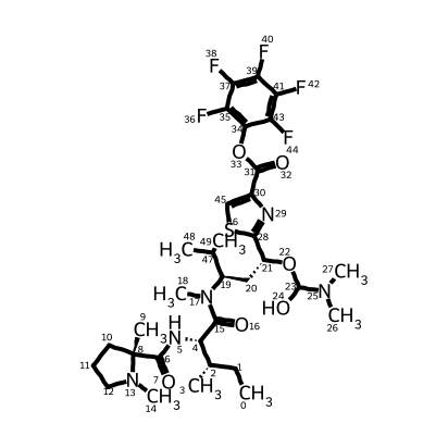 CC[C@H](C)[C@H](NC(=O)[C@@]1(C)CCCN1C)C(=O)N(C)[C@H](C[C@@H](OC(O)N(C)C)c1nc(C(=O)Oc2c(F)c(F)c(F)c(F)c2F)cs1)C(C)C